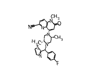 C[C@@H]1CN(c2cc(=O)n(C)c3ccc(C#N)nc23)[C@@H](C)CN1C(c1ccc(F)cc1)c1nccs1